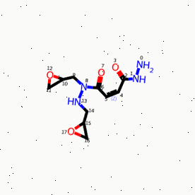 NNC(=O)/C=C\C(=O)N(CC1CO1)NCC1CO1